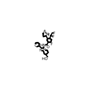 Cn1ccc(-c2cc(C(=O)Nc3c(-c4ccccc4)nc4cc(CO)ccn34)c(F)cc2C(F)(F)CF)n1